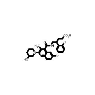 Cc1c(N2CCCC(O)C2)nc2ccc(Br)cc2c1C(=O)NCC(CCC(=O)O)c1ccccc1Cl